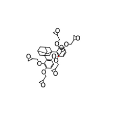 c1cc(OCC2CO2)c(C23CC4CC(C2)CC(c2c(OCC5CO5)ccc(OCC5CO5)c2OCC2CO2)(C4)C3)c(OCC2CO2)c1OCC1CO1